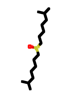 CC(C)CCCCC[S+]([O-])CCCCCC(C)C